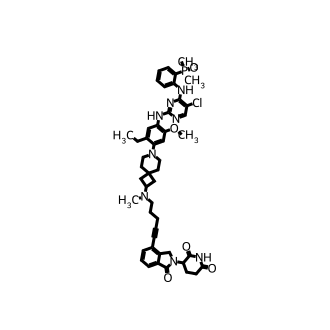 CCc1cc(Nc2ncc(Cl)c(Nc3ccccc3P(C)(C)=O)n2)c(OC)cc1N1CCC2(CC1)CC(N(C)CCCC#Cc1cccc3c1CN(C1CCC(=O)NC1=O)C3=O)C2